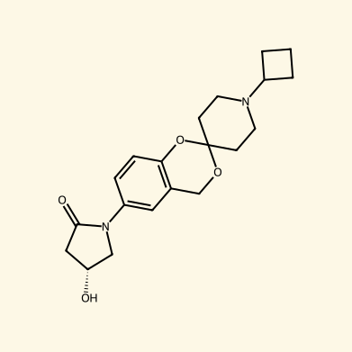 O=C1C[C@@H](O)CN1c1ccc2c(c1)COC1(CCN(C3CCC3)CC1)O2